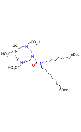 CCCCCCCCCCCCCCCCCCN(CCCCCCCCCCCCCCCCCC)C(=O)CN1CCN(CC(=O)O)CCN(CC(=O)O)[CH]([Gd])CN(CC(=O)O)CC1